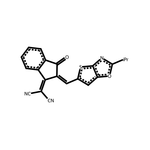 CC(C)c1nc2sc(/C=C3\C(=O)c4ccccc4C3=C(C#N)C#N)cc2o1